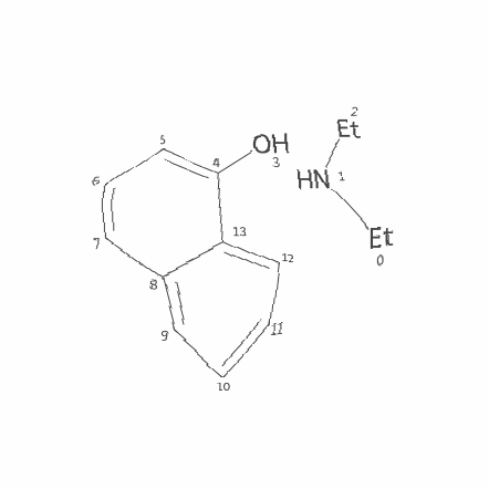 CCNCC.Oc1cccc2ccccc12